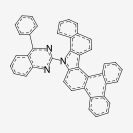 c1ccc(-c2nc(-n3c4ccc5c6ccccc6c6ccccc6c5c4c4ccc5ccccc5c43)nc3ccccc23)cc1